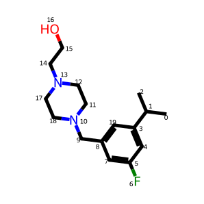 CC(C)c1cc(F)cc(CN2CCN(CCO)CC2)c1